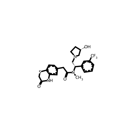 CN(C(=O)Cc1ccc2c(c1)NC(=O)CS2)[C@H](CN1CC[C@H](O)C1)c1cccc(C(F)(F)F)c1